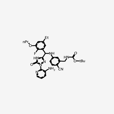 CCCOc1cc(CC)cc(C(Nc2ccc(C#N)c(CNC(=O)OC(C)(C)C)c2)c2nn(-c3ncccc3N)c(=O)[nH]2)c1F